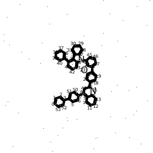 c1ccc(-c2ccc(C3=c4ccccc4=NC(c4ccc5c(c4)oc4c(-n6c7ccccc7c7c(-c8ccccc8)cccc76)cccc45)C3)cc2)cc1